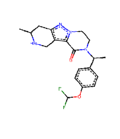 CC1Cc2nn3c(c2CN1)C(=O)N([C@@H](C)c1ccc(OC(F)F)cc1)CC3